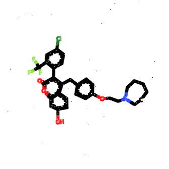 O=c1oc2cc(O)ccc2c(Cc2ccc(OCCN3CCCCCC3)cc2)c1-c1ccc(Cl)cc1C(F)(F)F